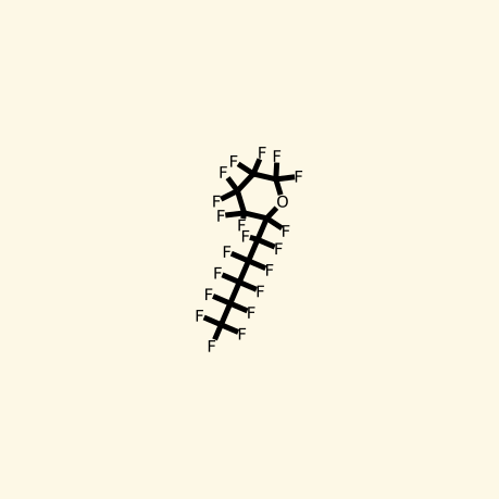 FC(F)(F)C(F)(F)C(F)(F)C(F)(F)C(F)(F)C1(F)OC(F)(F)C(F)(F)C(F)(F)C1(F)F